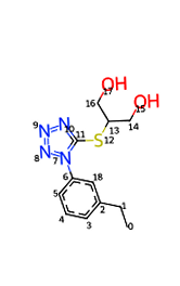 CCc1cccc(-n2nnnc2SC(CO)CO)c1